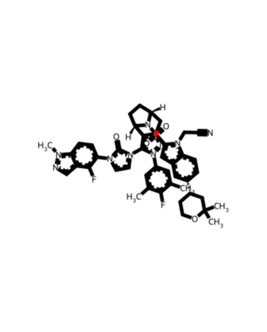 Cc1cc(-n2nc3c(c2-n2ccn(-c4ccc5c(cnn5C)c4F)c2=O)[C@@H]2CC[C@H](C3)N2S(=O)(=O)c2cc3cc([C@H]4CCOC(C)(C)C4)ccc3n2CC#N)cc(C)c1F